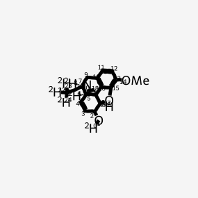 [2H]OC1C=C[C@@]2([2H])[C@@]3([2H])Cc4ccc(OC)c5c4[C@@]2(CCN3C([2H])([2H])[2H])C1([2H])O5